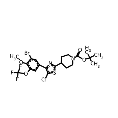 COc1c(Br)cc(-c2nc(C3CCN(C(=O)OC(C)(C)C)CC3)sc2Cl)cc1OC(F)(F)F